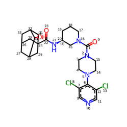 O=C(N1CCN(c2c(Cl)cncc2Cl)CC1)N1CCC[C@H](NC(=O)C23CC4CC(C2)C(O)C(C4)C3)C1